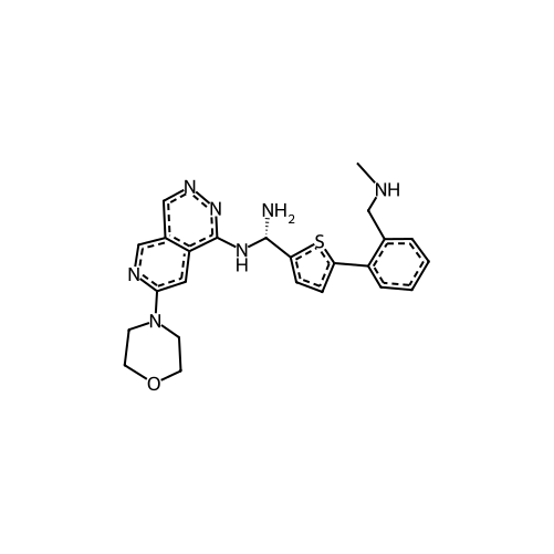 CNCc1ccccc1-c1ccc([C@@H](N)Nc2nncc3cnc(N4CCOCC4)cc23)s1